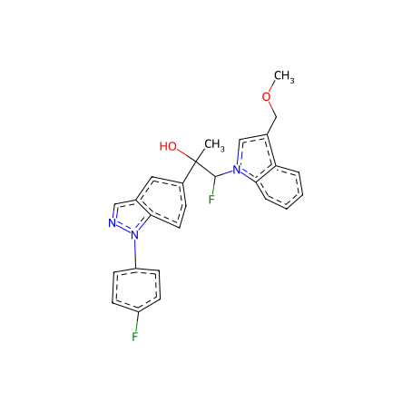 COCc1cn(C(F)C(C)(O)c2ccc3c(cnn3-c3ccc(F)cc3)c2)c2ccccc12